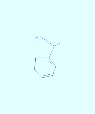 CC(N)C1=CC=CCC1